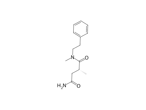 C[C@H](CC(N)=O)C(=O)N(C)CCc1ccccc1